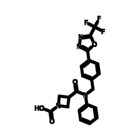 O=C(O)N1CC(C(=O)N(Cc2ccc(-c3nnc(C(F)(F)F)o3)cc2)c2ccccc2)C1